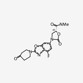 CNC(=O)[C@H]1CN(c2cc(F)c3nc(N4CCC(=O)CC4)oc3c2)C(=O)O1